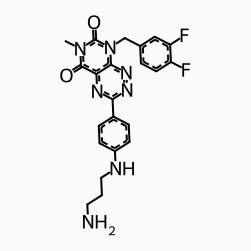 Cn1c(=O)c2nc(-c3ccc(NCCCN)cc3)nnc2n(Cc2ccc(F)c(F)c2)c1=O